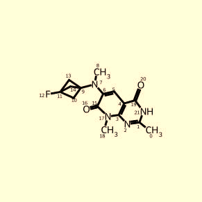 Cc1nc2c(cc(N(C)C34CC(F)(C3)C4)c(=O)n2C)c(=O)[nH]1